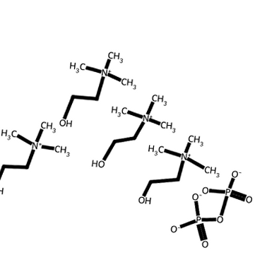 C[N+](C)(C)CCO.C[N+](C)(C)CCO.C[N+](C)(C)CCO.C[N+](C)(C)CCO.O=P([O-])([O-])OP(=O)([O-])[O-]